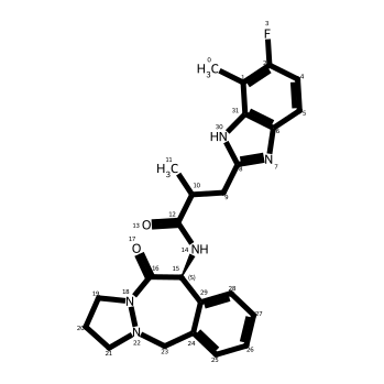 Cc1c(F)ccc2nc(CC(C)C(=O)N[C@@H]3C(=O)N4CCCN4Cc4ccccc43)[nH]c12